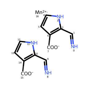 N=Cc1[nH]ccc1C(=O)[O-].N=Cc1[nH]ccc1C(=O)[O-].[Mn+2]